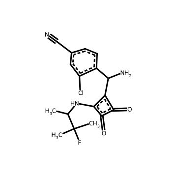 CC(Nc1c(C(N)c2ccc(C#N)cc2Cl)c(=O)c1=O)C(C)(C)F